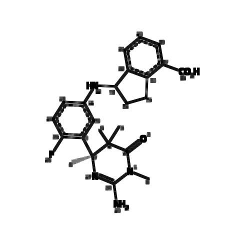 CN1C(=O)C(C)(C)[C@](C)(c2cc(NC3CCc4c(C(=O)O)cccc43)ccc2F)N=C1N